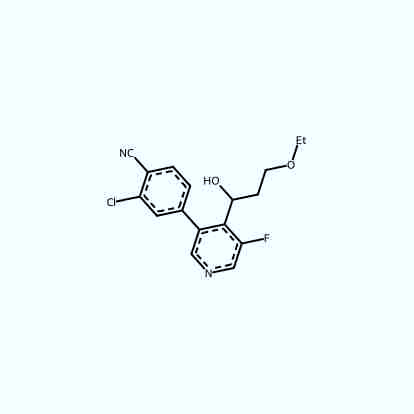 CCOCCC(O)c1c(F)cncc1-c1ccc(C#N)c(Cl)c1